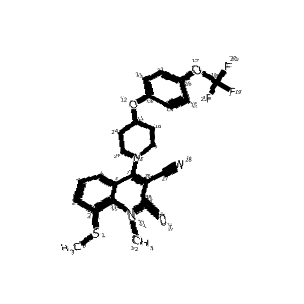 CSc1cccc2c(N3CCC(Oc4ccc(OC(F)(F)F)cc4)CC3)c(C#N)c(=O)n(C)c12